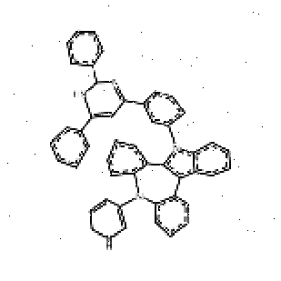 C1=CC(N2c3ccccc3-c3c(n(-c4cccc(C5=NC(c6ccccc6)NC(c6ccccc6)=C5)c4)c4ccccc34)-c3ccccc32)=CNC1